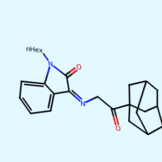 CCCCCCN1C(=O)/C(=N\CC(=O)C23CC4CC(CC(C4)C2)C3)c2ccccc21